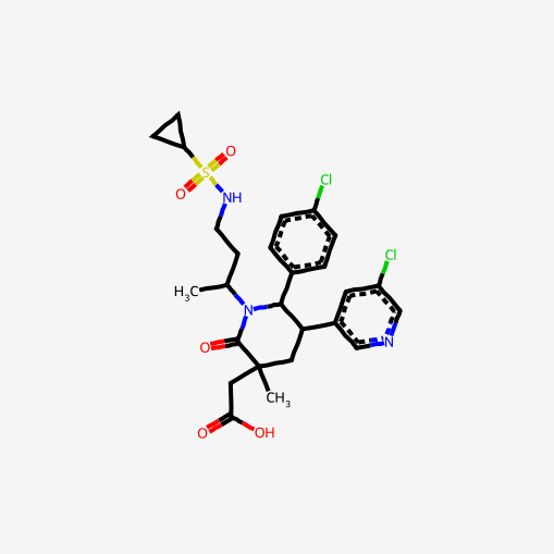 CC(CCNS(=O)(=O)C1CC1)N1C(=O)C(C)(CC(=O)O)CC(c2cncc(Cl)c2)C1c1ccc(Cl)cc1